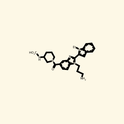 CCn1c(-c2nc3cc(C(=O)N4CCCC(NC(=O)O)C4)ccc3n2CCCN)cc2ccccc21